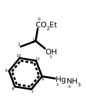 CCOC(=O)C(C)O.N.[Hg][c]1ccccc1